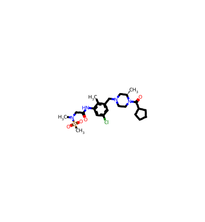 Cc1c(CN2CCN(C(=O)C3CCCC3)[C@@H](C)C2)cc(Cl)cc1NC(=O)CN(C)S(C)(=O)=O